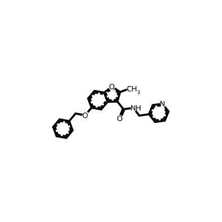 Cc1oc2ccc(OCc3ccccc3)cc2c1C(=O)NCc1cccnc1